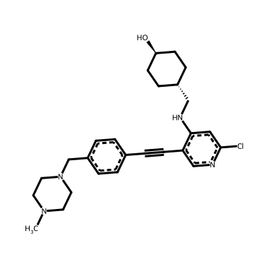 CN1CCN(Cc2ccc(C#Cc3cnc(Cl)cc3NC[C@H]3CC[C@H](O)CC3)cc2)CC1